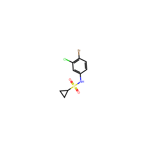 O=S(=O)(Nc1ccc(Br)c(Cl)c1)C1CC1